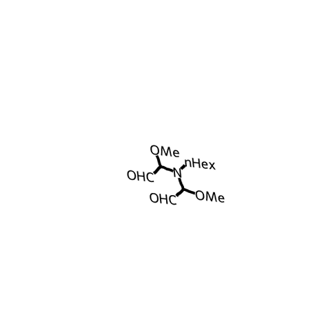 CCCCCCN(C(C=O)OC)C(C=O)OC